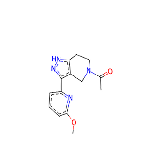 COc1cccc(-c2n[nH]c3c2CN(C(C)=O)CC3)n1